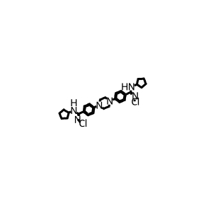 Cl/N=C(/NC1CCCC1)c1ccc(N2CCN(c3ccc(/C(=N\Cl)NC4CCCC4)cc3)CC2)cc1